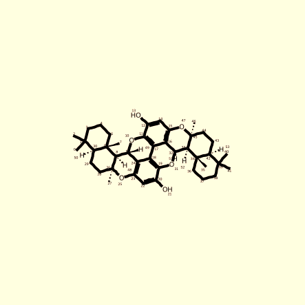 CC1(C)CCC[C@]2(C)[C@H]3[C@@H]4Oc5c(O)cc6c7c5-c5c(c(O)cc(c54)O[C@@]3(C)CC[C@@H]12)O[C@H]7[C@@H]1[C@@]2(C)CCCC(C)(C)[C@@H]2CC[C@]1(C)O6